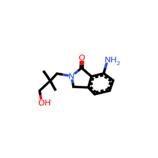 CC(C)(CO)CN1Cc2cccc(N)c2C1=O